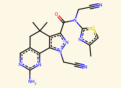 Cc1csc(N(CC#N)C(=O)c2nn(CC#N)c3c2C(C)(C)Cc2cnc(N)nc2-3)n1